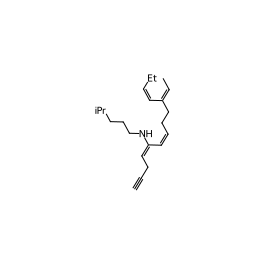 C#CC/C=C(\C=C/CCC(/C=C\CC)=C/C)NCCCC(C)C